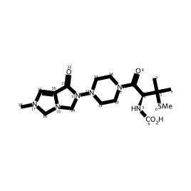 CSC(C)(C)[C@@H](NC(=O)O)C(=O)N1CCN(N2CN3CN(C)C=C3C2=O)CC1